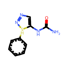 NC(=O)NC1=CN=N[SH]1c1ccccc1